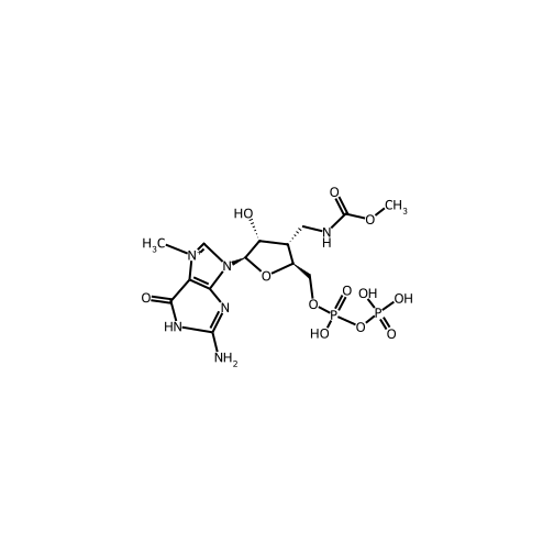 COC(=O)NC[C@H]1[C@@H](O)[C@H](n2c[n+](C)c3c(=O)[nH]c(N)nc32)O[C@@H]1COP(=O)(O)OP(=O)(O)O